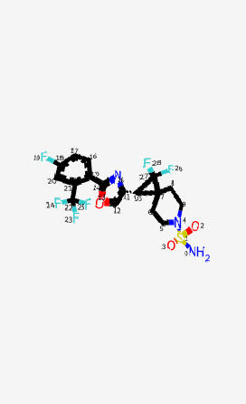 NS(=O)(=O)N1CCC2(CC1)[C@H](c1coc(-c3ccc(F)cc3C(F)(F)F)n1)C2(F)F